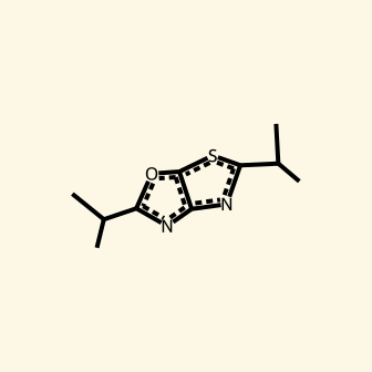 CC(C)c1nc2nc(C(C)C)sc2o1